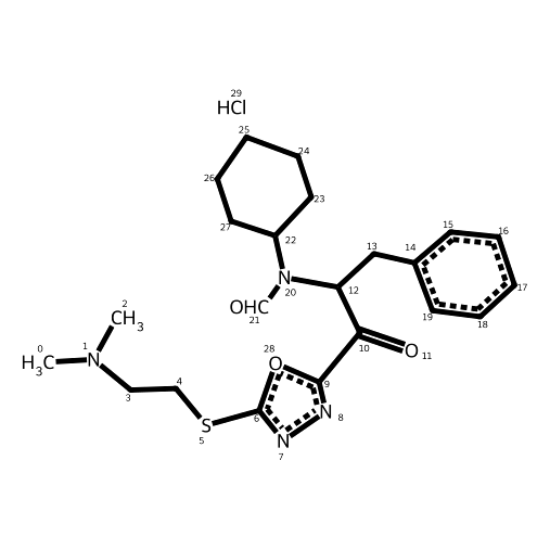 CN(C)CCSc1nnc(C(=O)C(Cc2ccccc2)N(C=O)C2CCCCC2)o1.Cl